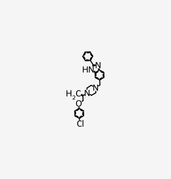 C=C(COc1ccc(Cl)cc1)N1CCN(Cc2ccc3nc(-c4ccccc4)[nH]c3c2)CC1